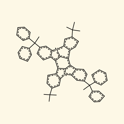 CC(C)(C)c1ccc2c3c4c5ccc(C(C)(c6ccccc6)c6ccccc6)cc5n5c6cc(C(C)(C)C)ccc6c(c6c7ccc(C(C)(c8ccccc8)c8ccccc8)cc7n(c2c1)c36)c45